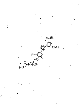 CCc1cc(-c2noc(-c3cc(OC)nc(C(CC)CC)c3)n2)cc(C)c1OCC(O)CNC(=O)CO